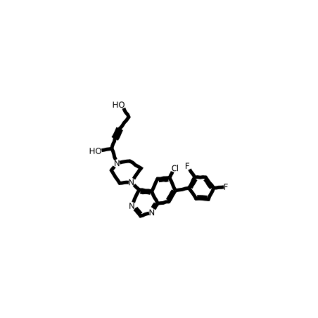 OCC#CC(O)N1CCN(c2ncnc3cc(-c4ccc(F)cc4F)c(Cl)cc23)CC1